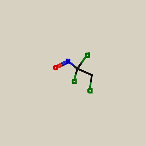 O=NC(Cl)(Cl)CCl